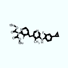 Cc1c(Cc2ccnc(N(C(=O)OC(C)(C)C)C(=O)OC(C)(C)C)c2F)cncc1Nc1ccc(C2CC2)cc1F